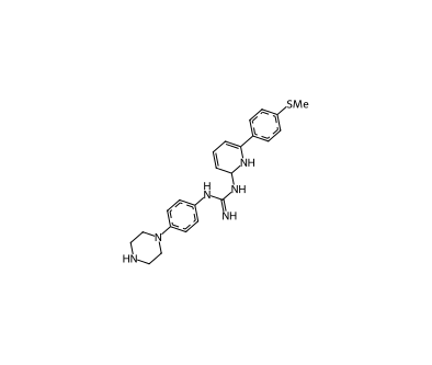 CSc1ccc(C2=CC=CC(NC(=N)Nc3ccc(N4CCNCC4)cc3)N2)cc1